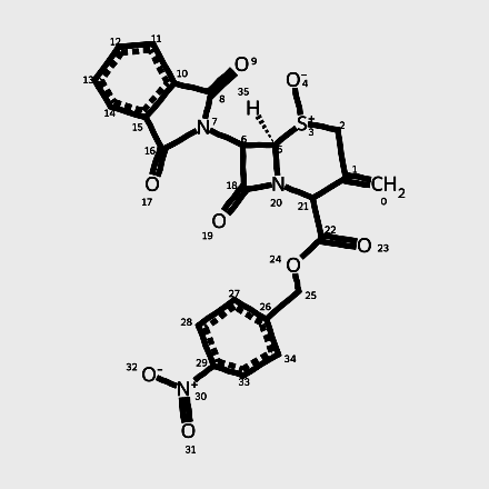 C=C1C[S+]([O-])[C@@H]2C(N3C(=O)c4ccccc4C3=O)C(=O)N2C1C(=O)OCc1ccc([N+](=O)[O-])cc1